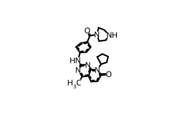 Cc1nc(Nc2ccc(C(=O)N3CCNCC3)cc2)nc2c1ccc(=O)n2C1CCCC1